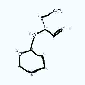 CC[C@H](C=O)OC1CCCCO1